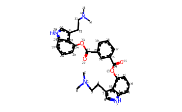 CN(C)CCc1c[nH]c2cccc(OC(=O)c3cccc(C(=O)Oc4cccc5[nH]cc(CCN(C)C)c45)c3)c12